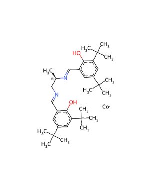 C[C@H](CN=Cc1cc(C(C)(C)C)cc(C(C)(C)C)c1O)N=Cc1cc(C(C)(C)C)cc(C(C)(C)C)c1O.[Co]